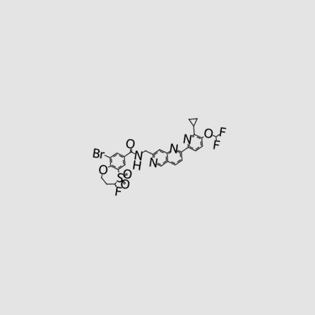 O=C(NCc1cc2nc(-c3ccc(OC(F)F)c(C4CC4)n3)ccc2cn1)c1cc(Br)c2c(c1)S(=O)(=O)[C@@H](F)CCO2